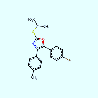 Cc1ccc(-c2nc(SC(C)C(=O)O)oc2-c2ccc(Br)cc2)cc1